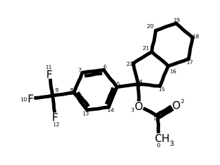 CC(=O)OC1(c2ccc(C(F)(F)F)cc2)CC2CCCCC2C1